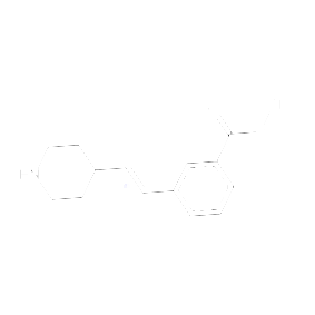 COC(=O)c1cccc(/C=C/C2CCNCC2)c1